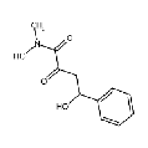 CN(O)C(=O)C(=O)CC(O)c1ccccc1